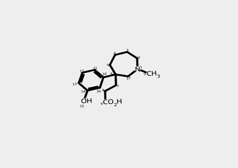 CN1CCCCC(CCC(=O)O)(c2cccc(O)c2)C1